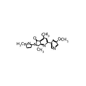 COc1cncc(-c2cc(C)c3c(n2)[C@H](C)N(c2ccn(C)n2)C3=O)c1